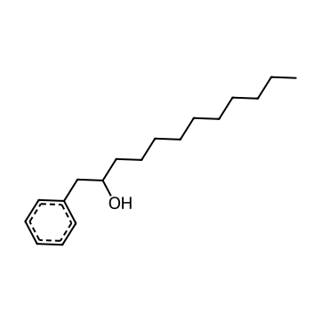 CCCCCCCCCCC(O)Cc1ccccc1